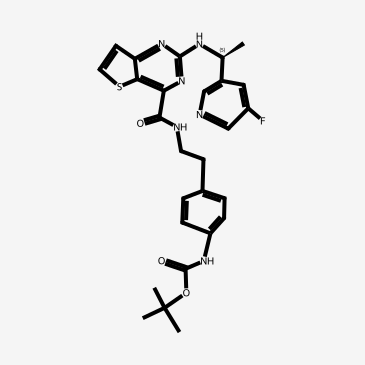 C[C@H](Nc1nc(C(=O)NCCc2ccc(NC(=O)OC(C)(C)C)cc2)c2sccc2n1)c1cncc(F)c1